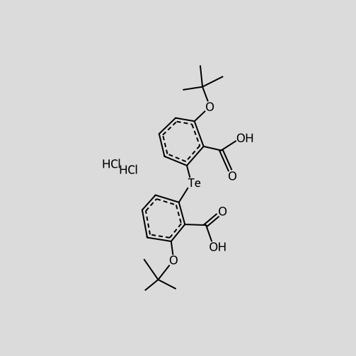 CC(C)(C)Oc1cccc([Te]c2cccc(OC(C)(C)C)c2C(=O)O)c1C(=O)O.Cl.Cl